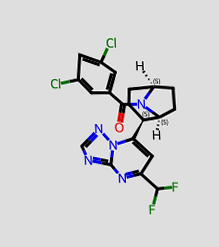 O=C(c1cc(Cl)cc(Cl)c1)N1[C@H]2CC[C@H](c3cc(C(F)F)nc4ncnn34)[C@@H]1CC2